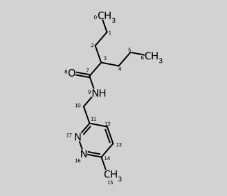 CCCC(CCC)C(=O)NCc1ccc(C)nn1